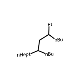 CCCCCCCC(CCCC)CC(CC)CCCC